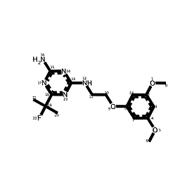 COc1cc(OC)cc(OCCNc2nc(N)nc(C(C)(C)F)n2)c1